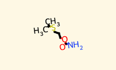 CC(C)SCCCOC(N)=O